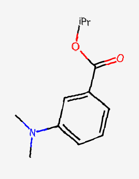 CC(C)OC(=O)c1cccc(N(C)C)c1